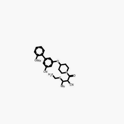 COc1ccccc1-c1cc(C#N)cc(OC2CCN(C(=O)C(C#N)C(SCP)C(C)(C)C)CC2)c1